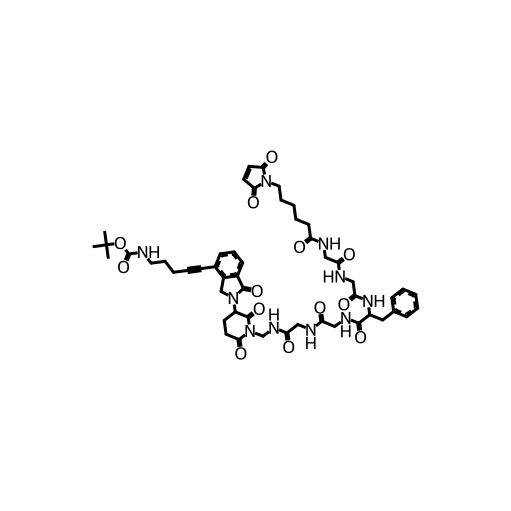 CC(C)(C)OC(=O)NCCCC#Cc1cccc2c1CN(C1CCC(=O)N(CNC(=O)CNC(=O)CNC(=O)C(Cc3ccccc3)NC(=O)CNC(=O)CNC(=O)CCCCCN3C(=O)C=CC3=O)C1=O)C2=O